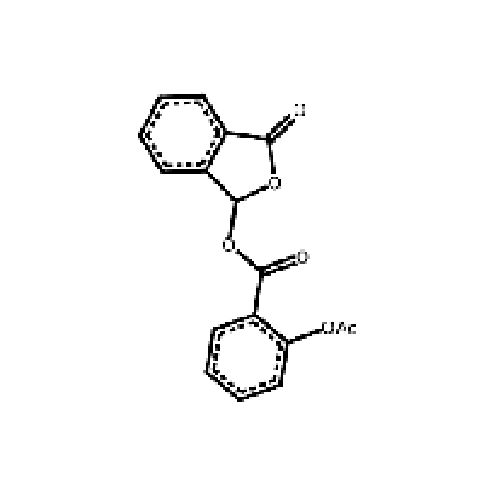 CC(=O)Oc1ccccc1C(=O)OC1OC(=O)c2ccccc21